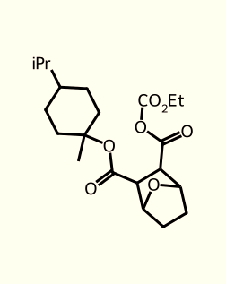 CCOC(=O)OC(=O)C1C2CCC(O2)C1C(=O)OC1(C)CCC(C(C)C)CC1